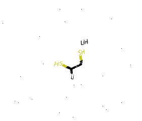 [LiH].[Li][CH](S)CS